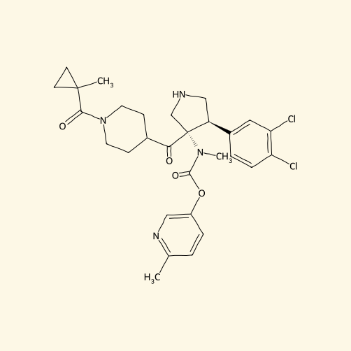 Cc1ccc(OC(=O)N(C)[C@]2(C(=O)C3CCN(C(=O)C4(C)CC4)CC3)CNC[C@H]2c2ccc(Cl)c(Cl)c2)cn1